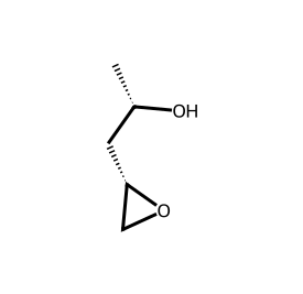 C[C@H](O)C[C@H]1CO1